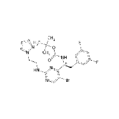 CC(C)(C)OC(=O)N[C@@H](Cc1cc(F)cc(F)c1)c1nc(NCCn2ccnn2)ncc1Br